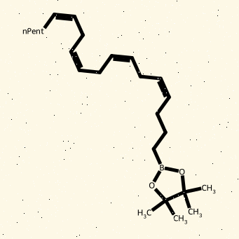 CCCCC/C=C\C/C=C\C/C=C\C/C=C\CCCB1OC(C)(C)C(C)(C)O1